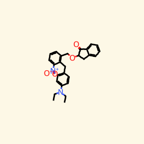 CCN(CC)c1ccc(Cc2c(COC3Cc4ccccc4C3=O)cccc2[N+](=O)[O-])cc1